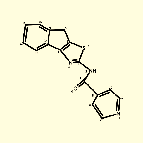 O=C(Nc1nc2c(s1)Cc1ccccc1-2)c1ccncc1